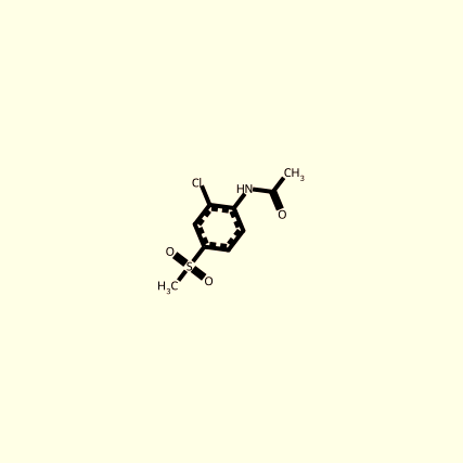 CC(=O)Nc1ccc(S(C)(=O)=O)cc1Cl